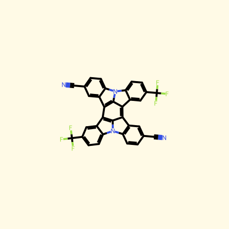 N#Cc1ccc2c(c1)c1c3c4cc(C(F)(F)F)ccc4n4c5ccc(C#N)cc5c(c5c6cc(C(F)(F)F)ccc6n2c15)c34